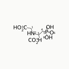 O=C(O)CNC(CP(=O)(O)O)C(=O)O